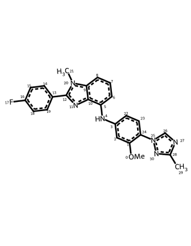 COc1cc(Nc2cccc3c2nc(-c2ccc(F)cc2)n3C)ccc1-n1cnc(C)n1